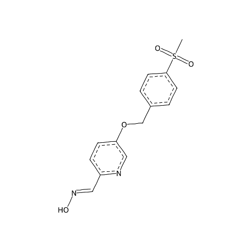 CS(=O)(=O)c1ccc(COc2ccc(/C=N/O)nc2)cc1